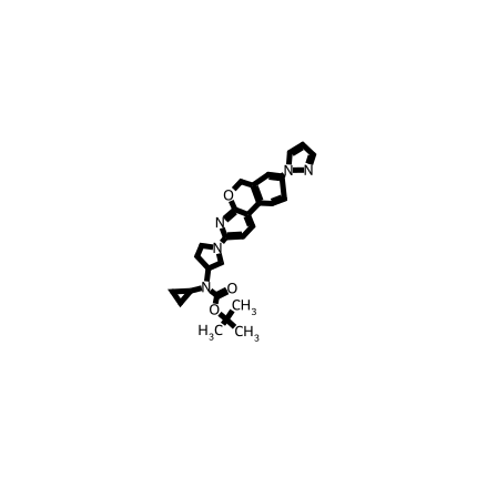 CC(C)(C)OC(=O)N(C1CC1)C1CCN(c2ccc3c(n2)OCc2cc(-n4cccn4)ccc2-3)C1